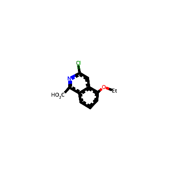 CCOc1cccc2c(C(=O)O)nc(Cl)cc12